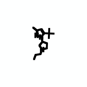 CCCN1CCC(n2nc(C)cc2C(C)(C)C)C1